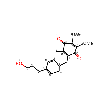 COC1=C(OC)C(=O)C(Cc2ccc(CCCO)cc2)=C(C)C1=O